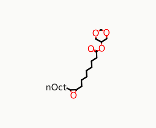 CCCCCCCCC1OC1CCCCCCCC(=O)OC1COCOC1